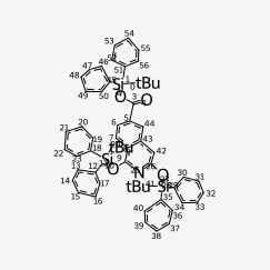 CC(C)(C)[Si](OC(=O)c1ccc2c(O[Si](c3ccccc3)(c3ccccc3)C(C)(C)C)nc(O[Si](c3ccccc3)(c3ccccc3)C(C)(C)C)cc2c1)(c1ccccc1)c1ccccc1